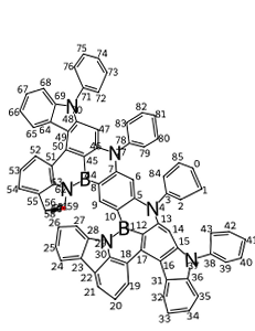 c1ccc(N2c3cc4c(cc3B3c5c2cc2c(c5-c5cccc6c7ccccc7n3c56)c3ccccc3n2-c2ccccc2)B2c3c(cc5c(c3-c3cccc6c7ccccc7n2c36)c2ccccc2n5-c2ccccc2)N4c2ccccc2)cc1